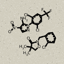 CC1(C)CON(Cc2ccccc2Cl)C1=O.Nc1c([N+](=O)[O-])cnn1-c1c(Cl)cc(C(F)(F)F)cc1Cl